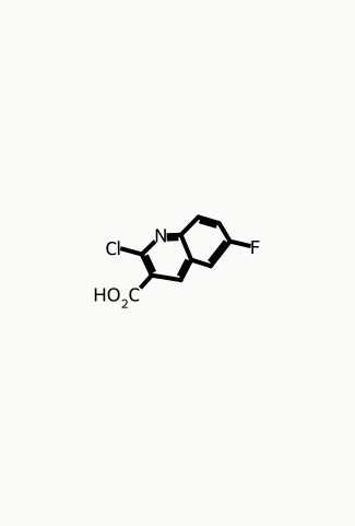 O=C(O)c1cc2cc(F)ccc2nc1Cl